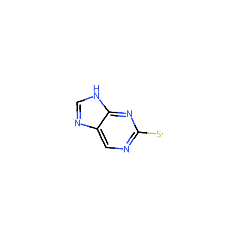 [S]c1ncc2nc[nH]c2n1